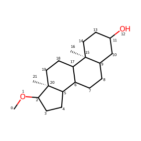 COC1CCC2C3CCC4CC(O)CC[C@]4(C)C3CC[C@]12C